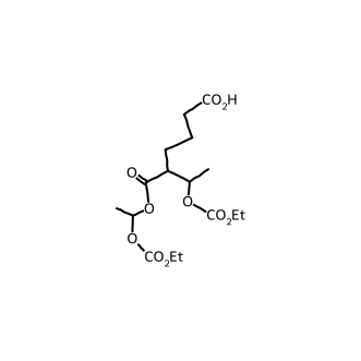 CCOC(=O)OC(C)OC(=O)C(CCCC(=O)O)C(C)OC(=O)OCC